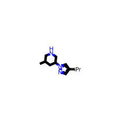 CC1CNCC(n2cc(C(C)C)cn2)C1